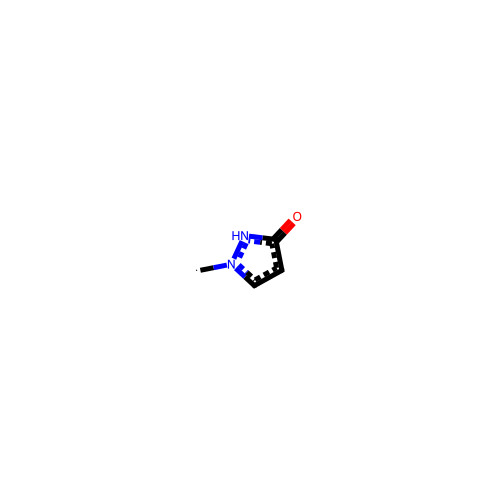 [CH2]n1ccc(=O)[nH]1